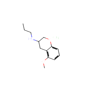 CCCNC1COc2cccc(OC)c2C1.Cl